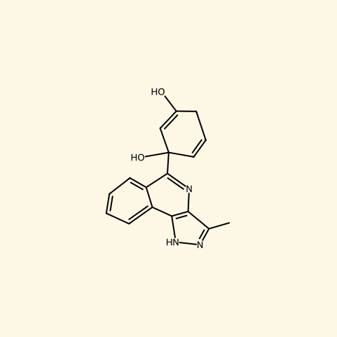 Cc1n[nH]c2c1nc(C1(O)C=CCC(O)=C1)c1ccccc12